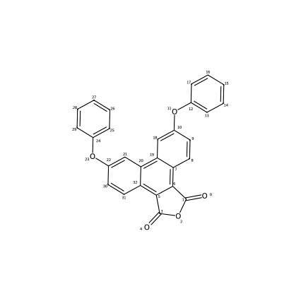 O=C1OC(=O)c2c1c1ccc(Oc3ccccc3)cc1c1cc(Oc3ccccc3)ccc21